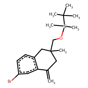 C=C1CC(C)(CO[Si](C)(C)C(C)(C)C)Cc2ccc(Br)cc21